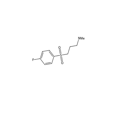 CNCCCS(=O)(=O)c1ccc(F)cc1